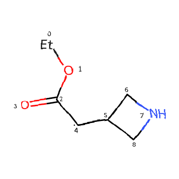 CCOC(=O)[CH]C1CNC1